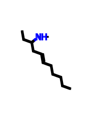 CCCCCC=CCC([NH])CC